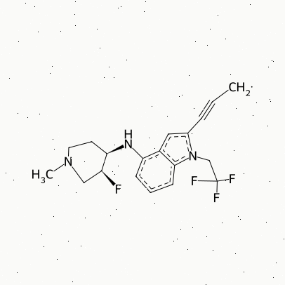 [CH2]C#Cc1cc2c(N[C@@H]3CCN(C)C[C@@H]3F)cccc2n1CC(F)(F)F